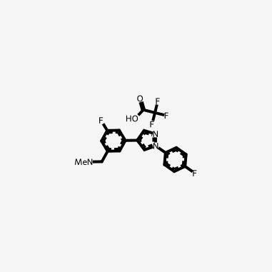 CNCc1cc(F)cc(-c2cnn(-c3ccc(F)cc3)c2)c1.O=C(O)C(F)(F)F